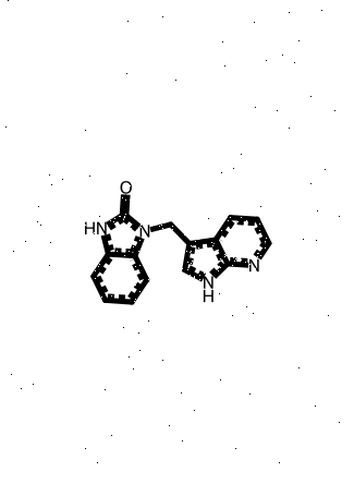 O=c1[nH]c2ccccc2n1Cc1c[nH]c2ncccc12